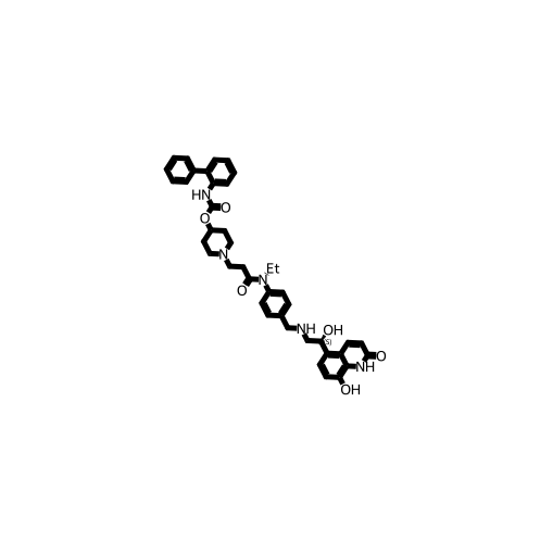 CCN(C(=O)CCN1CCC(OC(=O)Nc2ccccc2-c2ccccc2)CC1)c1ccc(CNC[C@@H](O)c2ccc(O)c3[nH]c(=O)ccc23)cc1